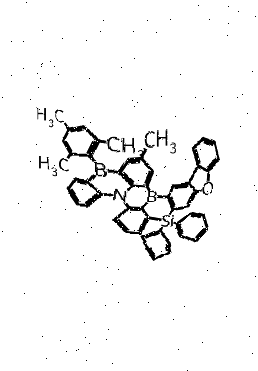 Cc1cc(C)c(B2c3ccccc3N3c4cccc5c4B(c4cc6c(cc4[Si]5(c4ccccc4)c4ccccc4)oc4ccccc46)c4cc(C)cc2c43)c(C)c1